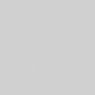 CCCCOc1cncc(-c2cc(F)c(N3CCC(CC(=O)O)CC3)c(F)c2)n1